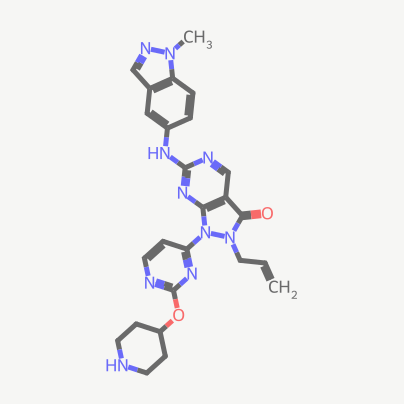 C=CCn1c(=O)c2cnc(Nc3ccc4c(cnn4C)c3)nc2n1-c1ccnc(OC2CCNCC2)n1